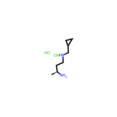 C[C@H](N)CCNCC1CC1.Cl.Cl